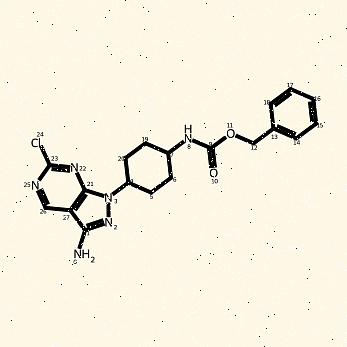 Nc1nn(C2CCC(NC(=O)OCc3ccccc3)CC2)c2nc(Cl)ncc12